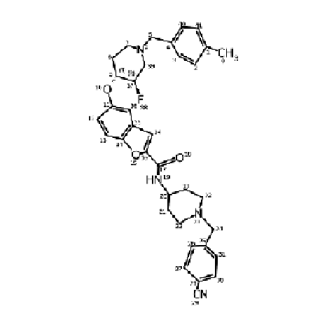 Cc1ccc(CN2CC[C@@H](Oc3ccc4oc(C(=O)NC5CCN(Cc6ccc(C#N)cc6)CC5)cc4c3)[C@H](F)C2)cc1